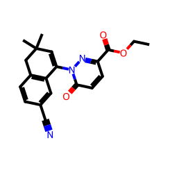 CCOC(=O)c1ccc(=O)n(C2=CC(C)(C)Cc3ccc(C#N)cc32)n1